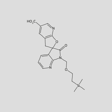 C[Si](C)(C)CCOCN1C(=O)C2(Cc3cc(C(=O)O)cnc3O2)c2cccnc21